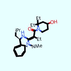 CC/C(C(=O)N1CCC(O)CC1(CC)CC)=C(/N[C@H](CC(C)C)C1=CC=CC=CC1)N(C)NC